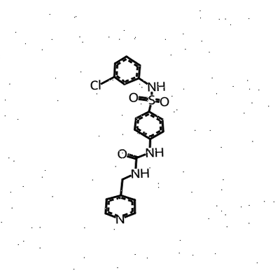 O=C(NCc1ccncc1)Nc1ccc(S(=O)(=O)Nc2cccc(Cl)c2)cc1